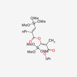 CCCOC(=O)C(C)=C(OC(=O)C(=C[Si](OC)(OC)OC)CCC)[Si](OC)(OC)OC